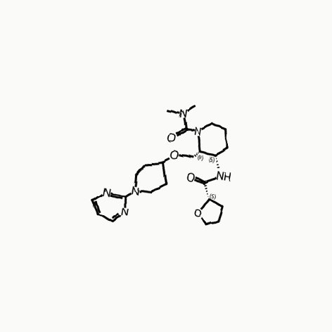 CN(C)C(=O)N1CCC[C@H](NC(=O)[C@@H]2CCCO2)[C@@H]1COC1CCN(c2ncccn2)CC1